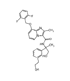 Cc1nc2c(OCc3c(F)cccc3F)cccn2c1C(=O)NC(C)(CO)c1cccc(CCO)c1